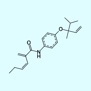 C=CC(C)(Oc1ccc(NC(=O)C(=C)/C=C\CC)cc1)C(C)C